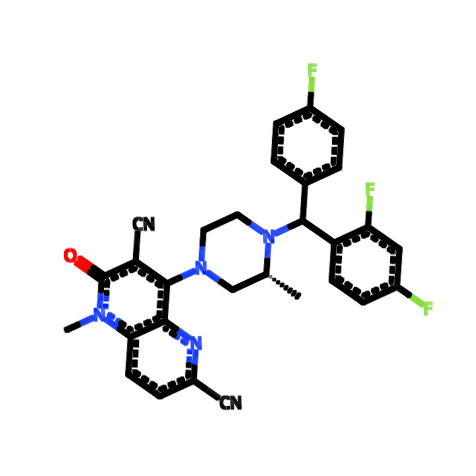 C[C@@H]1CN(c2c(C#N)c(=O)n(C)c3ccc(C#N)nc23)CCN1C(c1ccc(F)cc1)c1ccc(F)cc1F